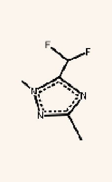 Cc1nc(C(F)F)n(C)n1